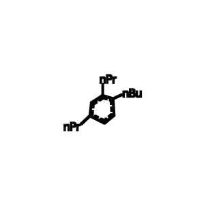 [CH2]CCCc1ccc(CCC)cc1CCC